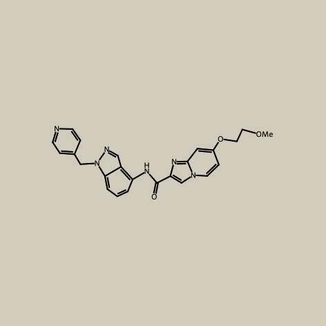 COCCOc1ccn2cc(C(=O)Nc3cccc4c3cnn4Cc3ccncc3)nc2c1